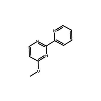 COc1ccnc(-c2ccccn2)n1